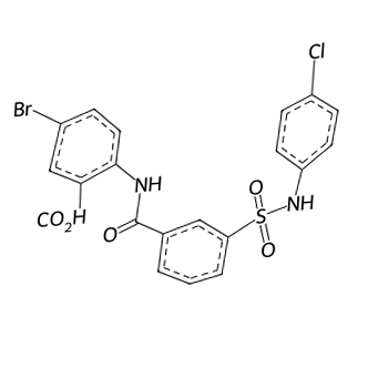 O=C(Nc1ccc(Br)cc1C(=O)O)c1cccc(S(=O)(=O)Nc2ccc(Cl)cc2)c1